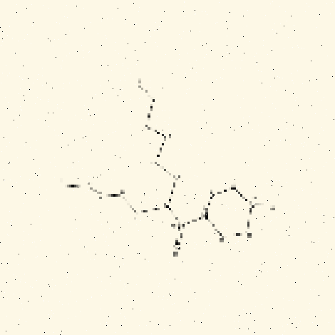 CCCCCCC(CCCCC)C(=O)N1CCN(C)CC1